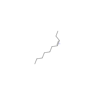 CC/C=C\CCCCCC